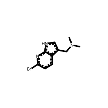 CN(C)Cc1c[nH]c2nc(Br)ccc12